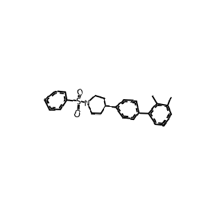 Cc1cccc(-c2ccc(C3CCN(S(=O)(=O)c4ccccc4)CC3)cc2)c1C